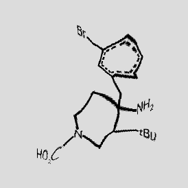 CC(C)(C)C1CN(C(=O)O)CCC1(N)c1cccc(Br)c1